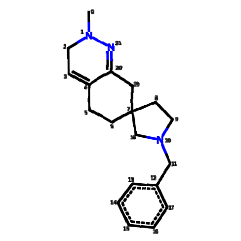 CN1CC=C2CCC3(CCN(Cc4ccccc4)C3)CC2=N1